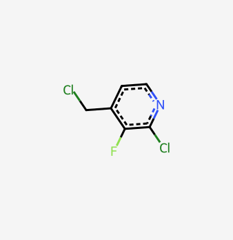 Fc1c(CCl)ccnc1Cl